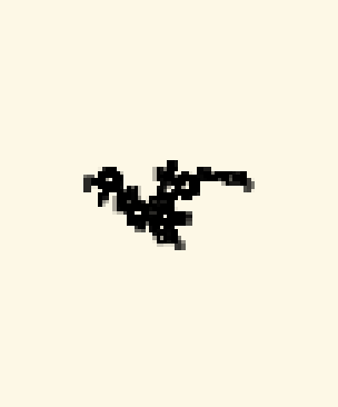 CCCOc1ccc(-c2cc(C(CC)(C(=O)O)n3cc4nc(-c5cccc(F)c5F)nc-4cn3)on2)c(C(F)(F)F)c1